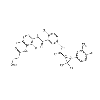 COCCC(=O)Nc1c(F)ccc(NC(=O)c2cc(NC(=O)[C@H]3[C@H](c4ccc(F)c(C(F)(F)F)c4)C3(Cl)Cl)ccc2Cl)c1F